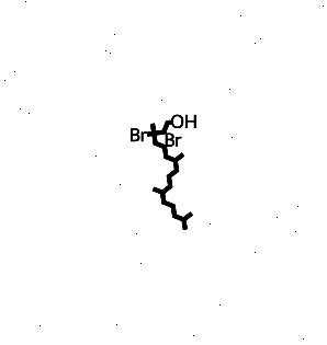 CC(C)CCCC(C)CCCC(C)CCCC(C)(Br)C(Br)CO